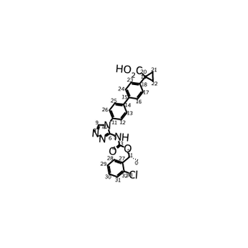 C[C@@H](OC(=O)Nc1nncn1-c1ccc(-c2ccc(C3(C(=O)O)CC3)cc2)cc1)c1ccccc1Cl